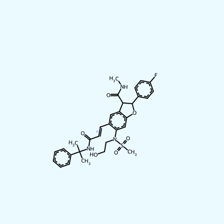 CNC(=O)C1c2cc(/C=C/C(=O)NC(C)(C)c3ccccc3)c(N(CCO)S(C)(=O)=O)cc2OC1c1ccc(F)cc1